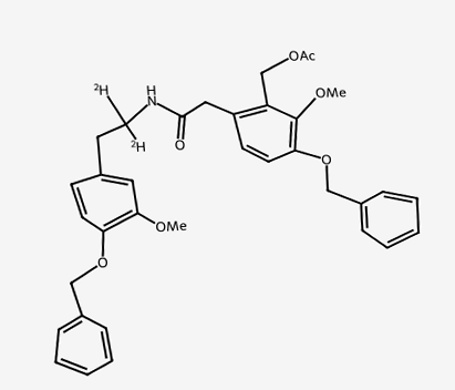 [2H]C([2H])(Cc1ccc(OCc2ccccc2)c(OC)c1)NC(=O)Cc1ccc(OCc2ccccc2)c(OC)c1COC(C)=O